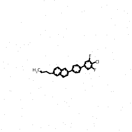 C=CCCc1ccc2cc(-c3ccc(-c4cc(F)c(Cl)c(F)c4)cc3)ccc2c1